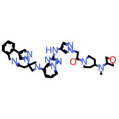 Cc1ccccc1-c1cnn(C2(CC#N)CN(c3cccn4nc(Nc5cnn(CC(=O)N6CCC(N(C)C7COC7)CC6)c5)nc34)C2)c1